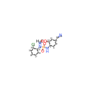 COP(=O)(Nc1ccc(C#N)cc1O)Nc1ccccc1Cl